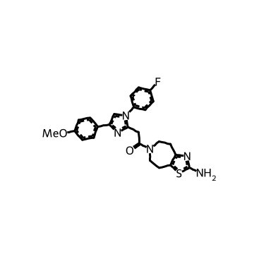 COc1ccc(-c2cn(-c3ccc(F)cc3)c(CC(=O)N3CCc4nc(N)sc4CC3)n2)cc1